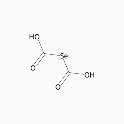 O=C(O)[Se]C(=O)O